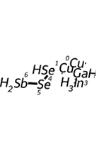 [Cu].[Cu].[GaH3].[InH3].[SeH][Se][SbH2]